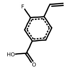 C=Cc1ccc(C(=O)O)cc1F